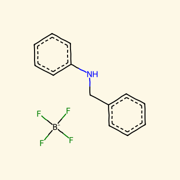 F[B-](F)(F)F.c1ccc(CNc2ccccc2)cc1